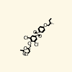 CC[C@H](C)COc1ccc(S(=O)(=O)c2cc(Cl)c(OC[C@@H](CCl)OC(C)=O)c(Cl)c2)cc1